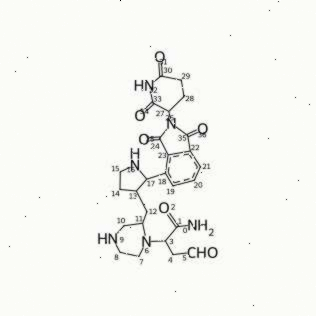 NC(=O)C(CC=O)N1CCNCC1CC1CCNC1c1cccc2c1C(=O)N(C1CCC(=O)NC1=O)C2=O